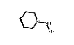 C[CH]NN1CCCCC1